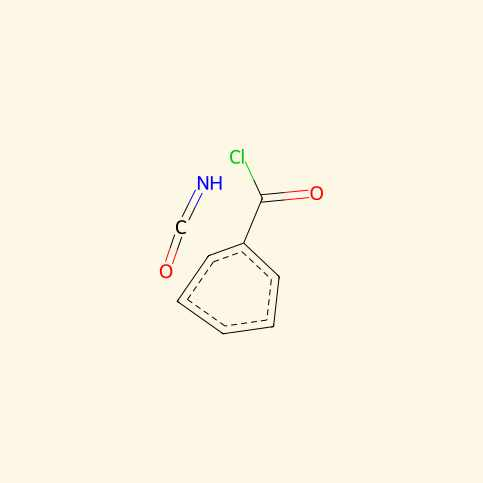 N=C=O.O=C(Cl)c1ccccc1